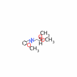 CCOc1ccccc1CN=NCCC[SiH](OCC)OCC